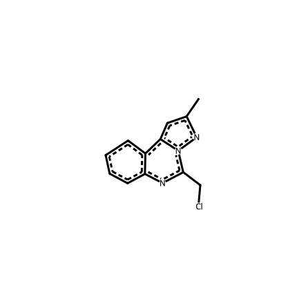 Cc1cc2c3ccccc3nc(CCl)n2n1